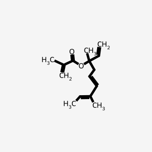 C=CC(C)(CC=CC(C)=CC)OC(=O)C(=C)C